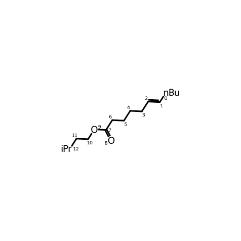 CCCC/C=C/CCCCC(=O)OCCC(C)C